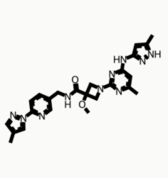 COC1(C(=O)NCc2ccc(-n3cc(C)cn3)nc2)CN(c2nc(C)cc(Nc3cc(C)[nH]n3)n2)C1